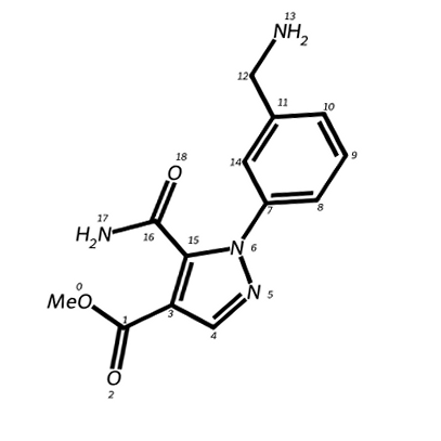 COC(=O)c1cnn(-c2cccc(CN)c2)c1C(N)=O